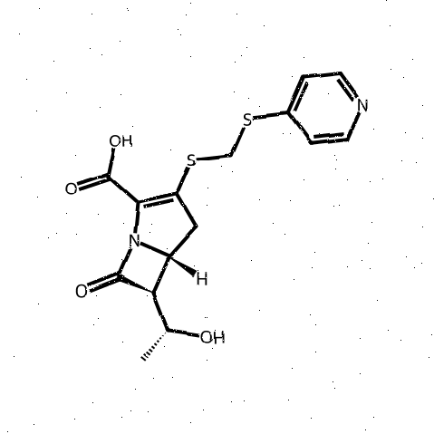 C[C@@H](O)[C@H]1C(=O)N2C(C(=O)O)=C(SCSc3ccncc3)C[C@H]12